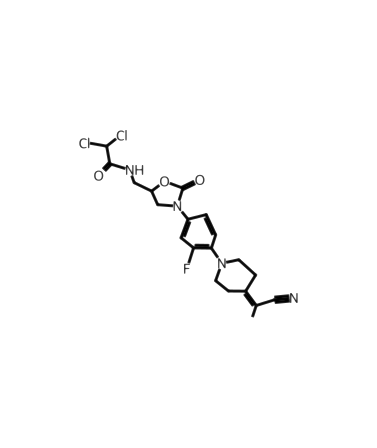 CC(C#N)=C1CCN(c2ccc(N3CC(CNC(=O)C(Cl)Cl)OC3=O)cc2F)CC1